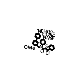 CNC1CCC(N(Cc2cc(-c3ccc(N(C)C=O)cc3)ccc2OC)C(=O)c2sc3ccccc3c2Cl)CC1.O=C(O)C(F)(F)F